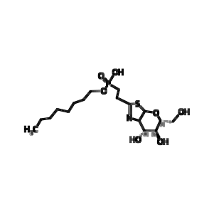 CCCCCCCCOP(=O)(O)CCC1=NC2C(O[C@H](CO)[C@@H](O)[C@@H]2O)S1